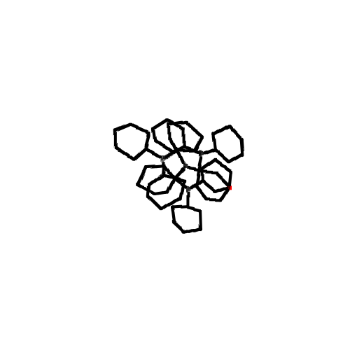 C1CCC(P(C2CCCCC2)C2(P(C3(P(C4CCCCC4)C4CCCCC4)CCCCC3)C3(P(C4CCCCC4)C4CCCCC4)CCCCC3)CCCCC2)CC1